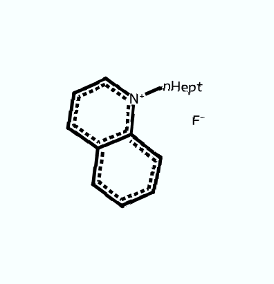 CCCCCCC[n+]1cccc2ccccc21.[F-]